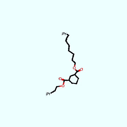 CC(C)CCCCCCCOC(=O)C1CCCC(C(=O)OCCC(C)C)C1